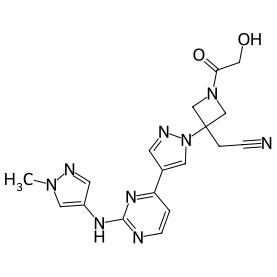 Cn1cc(Nc2nccc(-c3cnn(C4(CC#N)CN(C(=O)CO)C4)c3)n2)cn1